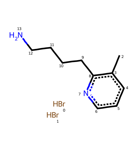 Br.Br.Cc1cccnc1CCCCN